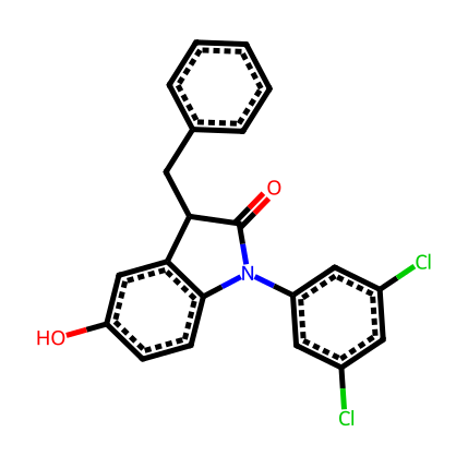 O=C1C(Cc2ccccc2)c2cc(O)ccc2N1c1cc(Cl)cc(Cl)c1